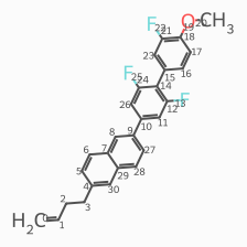 C=CCCc1ccc2cc(-c3cc(F)c(-c4ccc(OC)c(F)c4)c(F)c3)ccc2c1